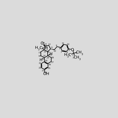 CC(C)(C)Oc1ccc(CC[C@@H]2CC(=O)[C@@]3(C)CC[C@@H]4c5ccc(O)cc5CC[C@H]4[C@H]23)cc1